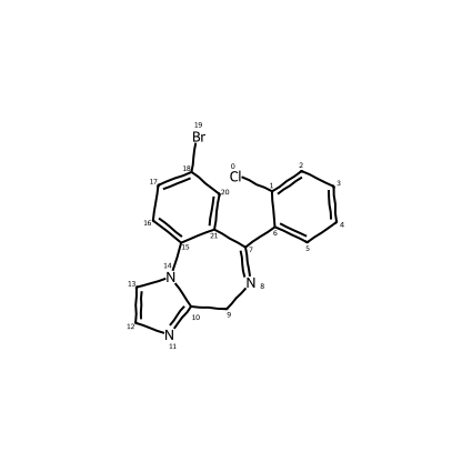 Clc1ccccc1C1=NCc2nccn2-c2ccc(Br)cc21